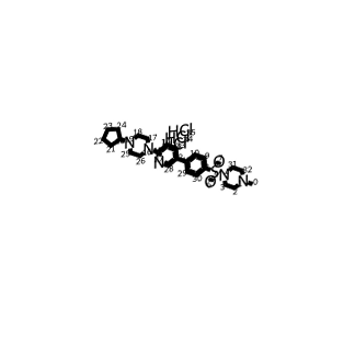 CN1CCN(S(=O)(=O)c2ccc(-c3ccc(N4CCN(C5CCCC5)CC4)nc3)cc2)CC1.Cl.Cl.Cl